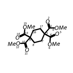 COC(=O)C1(C(=O)OC)CCC(C(=O)OC)(C(=O)OC)CC1